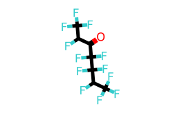 O=C(C(F)C(F)(F)F)C(F)(F)C(F)(F)C(F)C(F)(F)F